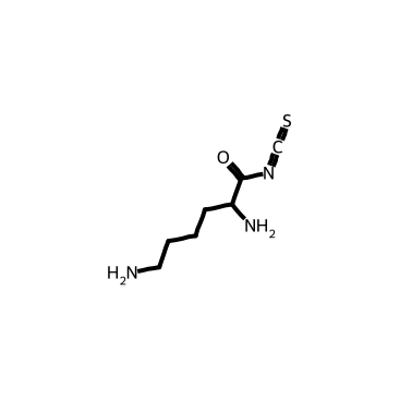 NCCCCC(N)C(=O)N=C=S